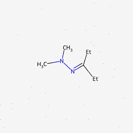 CCC(CC)=NN(C)C